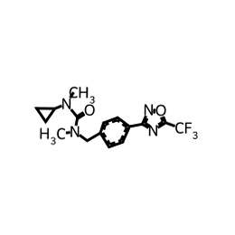 CN(Cc1ccc(-c2noc(C(F)(F)F)n2)cc1)C(=O)N(C)C1CC1